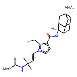 C=C(NC(C)(C)/C=C/n1ccc(C(=O)N[C@H]2C3CC4CC2C[C@](NC(C)=O)(C4)C3)c1CF)OC